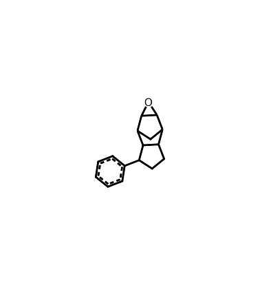 c1ccc(C2CCC3C4CC(C5OC45)C23)cc1